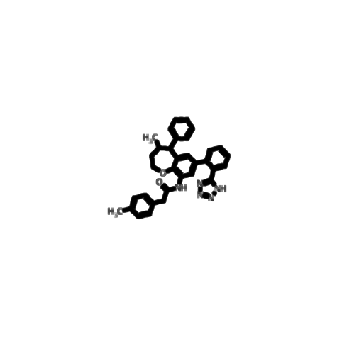 Cc1ccc(CC(=O)Nc2cc(-c3ccccc3-c3nnn[nH]3)cc3c2OCCC(C)C3c2ccccc2)cc1